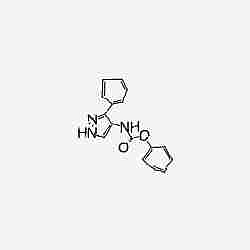 O=C(Nc1c[nH]nc1-c1ccccc1)Oc1ccccc1